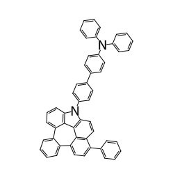 c1ccc(-c2ccc3c4c2ccc2c4c4c(cccc4n2-c2ccc(-c4ccc(N(c5ccccc5)c5ccccc5)cc4)cc2)-c2ccccc2-3)cc1